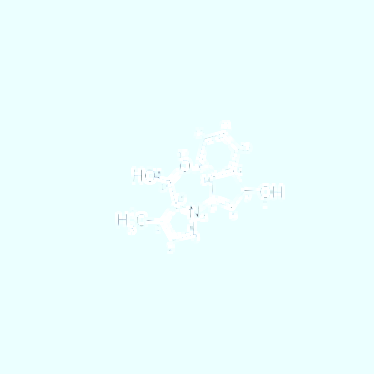 Cc1ccn(C2=CC(O)c3ccccc32)c1C(=O)O